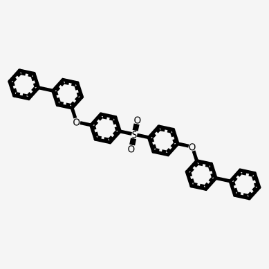 O=S(=O)(c1ccc(Oc2cccc(-c3ccccc3)c2)cc1)c1ccc(Oc2cccc(-c3ccccc3)c2)cc1